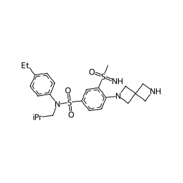 CCc1ccc(N(CC(C)C)S(=O)(=O)c2ccc(N3CC4(CNC4)C3)c(S(C)(=N)=O)c2)cc1